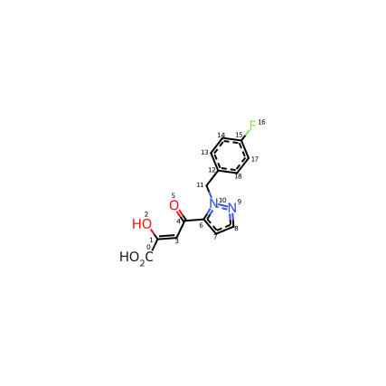 O=C(O)C(O)=CC(=O)c1ccnn1Cc1ccc(F)cc1